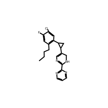 CCCCc1cc(F)c(Cl)cc1C1CC1C1=CN=C(c2ncccn2)NC1